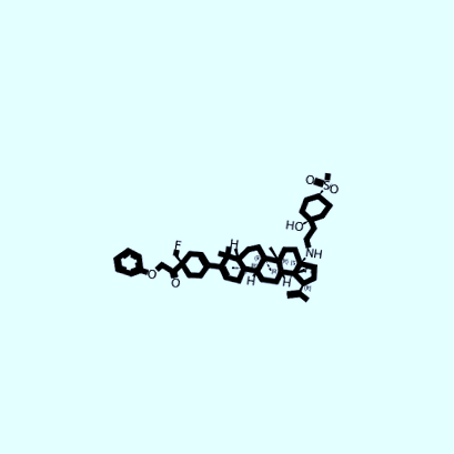 C=C(C)[C@@H]1CC[C@]2(NCC[C@]3(O)CC[C@@H](S(C)(=O)=O)CC3)CC[C@]3(C)[C@H](CC[C@@H]4[C@@]5(C)CC=C(C6=CC[C@@](CF)(C(=O)COc7ccccc7)CC6)C(C)(C)[C@@H]5CC[C@]43C)[C@@H]12